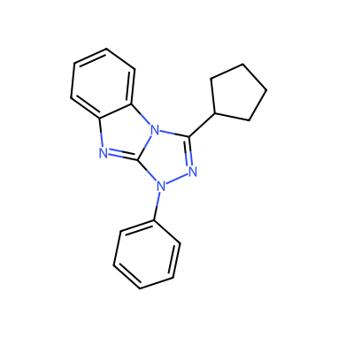 c1ccc(-n2nc(C3CCCC3)n3c4ccccc4nc23)cc1